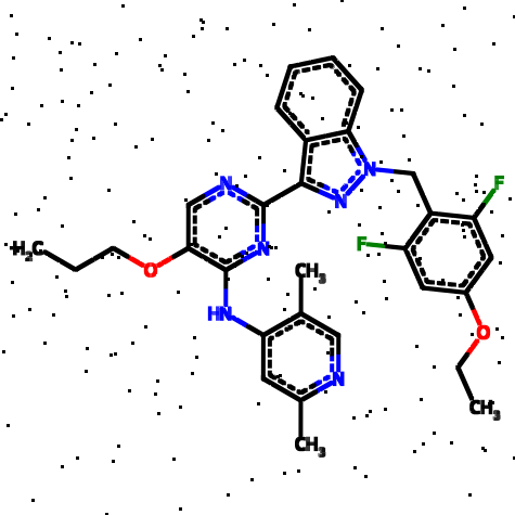 [CH2]CCOc1cnc(-c2nn(Cc3c(F)cc(OCC)cc3F)c3ccccc23)nc1Nc1cc(C)ncc1C